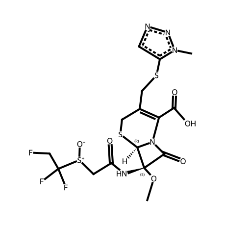 CO[C@@]1(NC(=O)C[S+]([O-])C(F)(F)CF)C(=O)N2C(C(=O)O)=C(CSc3cnnn3C)CS[C@@H]21